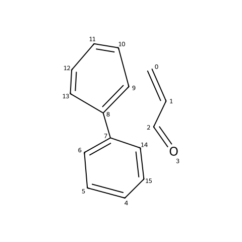 C=CC=O.c1ccc(-c2ccccc2)cc1